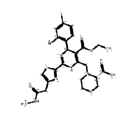 CCOC(=O)C1=C(CN2CCOC[C@H]2C(=O)O)NC(c2nc(CC(=O)NC)cs2)=NC1c1ccc(F)cc1Br